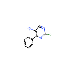 Nc1cnc(Cl)nc1-c1ccccc1